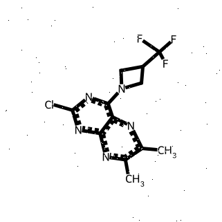 Cc1nc2nc(Cl)nc(N3CC(C(F)(F)F)C3)c2nc1C